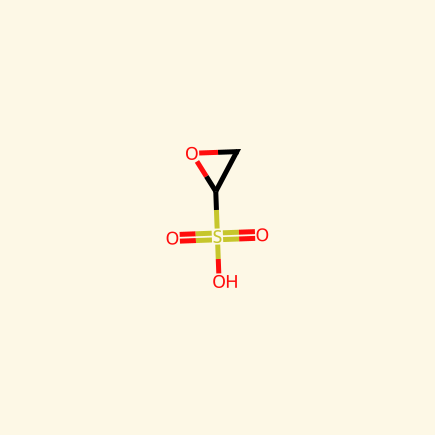 O=S(=O)(O)C1CO1